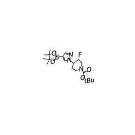 CC(C)(C)OC(=O)N1CC[C@@H](n2cc(B3OC(C)(C)C(C)(C)O3)cn2)[C@H](F)C1